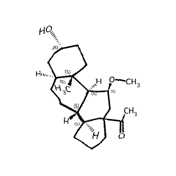 CO[C@H]1CC2(C(C)=O)CCC[C@H]2[C@@H]2CC[C@H]3C[C@H](O)CC[C@]3(C)[C@H]21